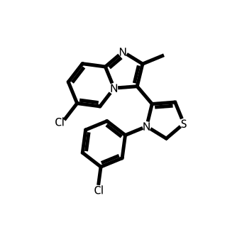 Cc1nc2ccc(Cl)cn2c1C1=CSCN1c1cccc(Cl)c1